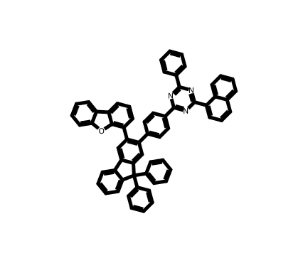 c1ccc(-c2nc(-c3ccc(-c4cc5c(cc4-c4cccc6c4oc4ccccc46)-c4ccccc4C5(c4ccccc4)c4ccccc4)cc3)nc(-c3cccc4ccccc34)n2)cc1